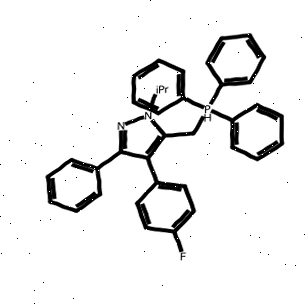 CC(C)n1nc(-c2ccccc2)c(-c2ccc(F)cc2)c1C[PH](c1ccccc1)(c1ccccc1)c1ccccc1